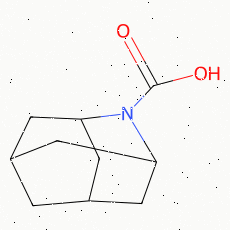 O=C(O)N1C2CC3CC(C2)CC1C3